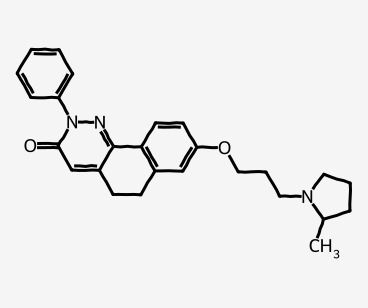 CC1CCCN1CCCOc1ccc2c(c1)CCc1cc(=O)n(-c3ccccc3)nc1-2